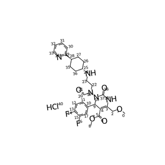 COCC1=C(C(=O)OC)C(c2ccc(F)c(F)c2)N(N(C=O)CCN[C@H]2CC[C@H](c3ccccn3)CC2)C(=O)N1.Cl